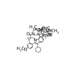 COc1ccc2c(c1)C1CC1(C(=O)N1C[C@]3(C)CN(C)C[C@](C)(C1)C3O)Cn1c-2c(C2CCCCC2)c2ccc(C(=O)NS(=O)(=O)N(C)C)cc21